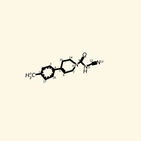 Cc1ccc(C2=CCN(C(=O)NC#N)CC2)cc1